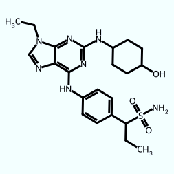 CCC(c1ccc(Nc2nc(NC3CCC(O)CC3)nc3c2ncn3CC)cc1)S(N)(=O)=O